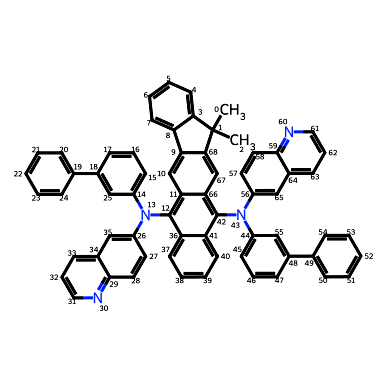 CC1(C)c2ccccc2-c2cc3c(N(c4cccc(-c5ccccc5)c4)c4ccc5ncccc5c4)c4ccccc4c(N(c4cccc(-c5ccccc5)c4)c4ccc5ncccc5c4)c3cc21